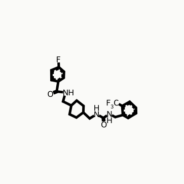 O=C(NCc1ccccc1C(F)(F)F)NCC1CCC(CNC(=O)c2ccc(F)cc2)CC1